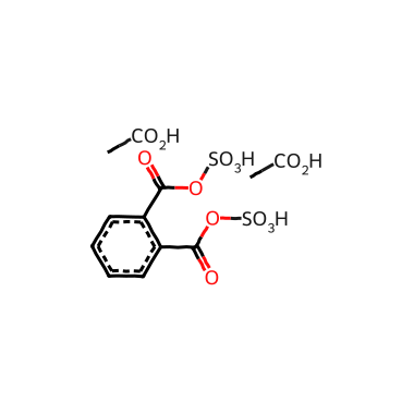 CC(=O)O.CC(=O)O.O=C(OS(=O)(=O)O)c1ccccc1C(=O)OS(=O)(=O)O